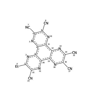 CCc1nc2c3nc(C#N)c(C#N)nc3c3nc(C#N)c(C#N)nc3c2nc1C#N